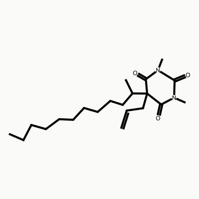 C=CCC1(C(C)CCCCCCCCCC)C(=O)N(C)C(=O)N(C)C1=O